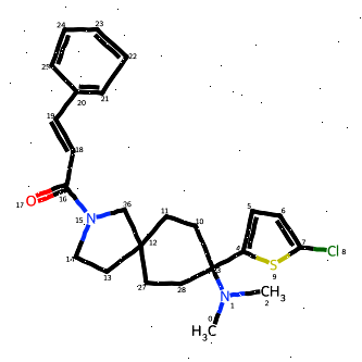 CN(C)C1(c2ccc(Cl)s2)CCC2(CCN(C(=O)C=Cc3ccccc3)C2)CC1